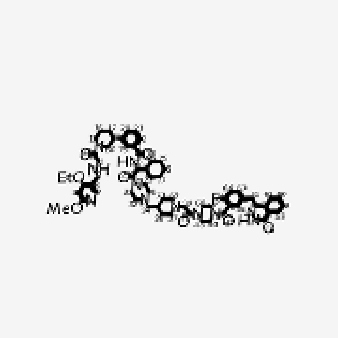 CCOc1cc(OC)ncc1CNCC(=O)N1CCC[C@H](c2cccc(C(=O)N[C@@H](C(=O)N3CCN(CC4CCN(CC(=O)N5CCN(C(=O)c6cc(Cc7n[nH]c(=O)c8ccccc78)ccc6F)CC5)CC4)CC3)C3CCCCC3)c2)C1